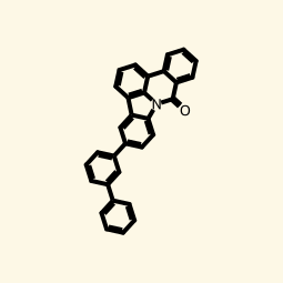 O=c1c2ccccc2c2cccc3c4cc(-c5cccc(-c6ccccc6)c5)ccc4n1c23